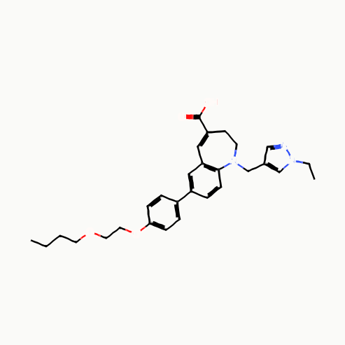 CCCCOCCOc1ccc(-c2ccc3c(c2)C=C(C(=O)O)CCN3Cc2cnn(CC)c2)cc1